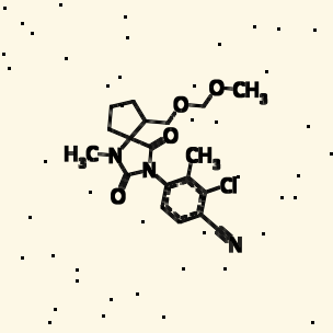 COCOCC1CCCC12C(=O)N(c1ccc(C#N)c(Cl)c1C)C(=O)N2C